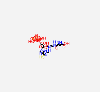 Cc1nc(S)c2ncn([C@@H]3O[C@H](COP(=O)(O)OP(=O)(O)OP(=O)(O)O)C(O)[C@@H]3OC(=O)NCCNC(=O)C(N)CCC(=O)O)c2n1